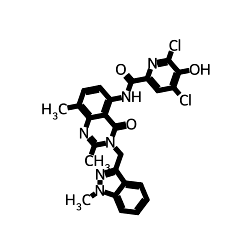 Cc1ccc(NC(=O)c2cc(Cl)c(O)c(Cl)n2)c2c(=O)n(Cc3nn(C)c4ccccc34)c(C)nc12